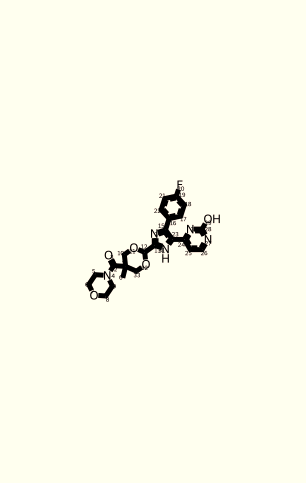 CC1(C(=O)N2CCOCC2)COC(c2nc(-c3ccc(F)cc3)c(-c3ccnc(O)n3)[nH]2)OC1